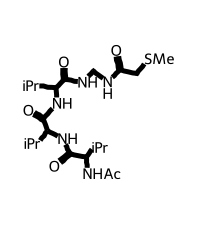 CSCC(=O)NCNC(=O)C(NC(=O)C(NC(=O)C(NC(C)=O)C(C)C)C(C)C)C(C)C